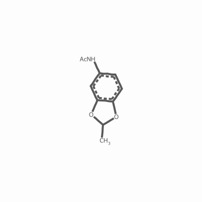 CC(=O)Nc1ccc2c(c1)OC(C)O2